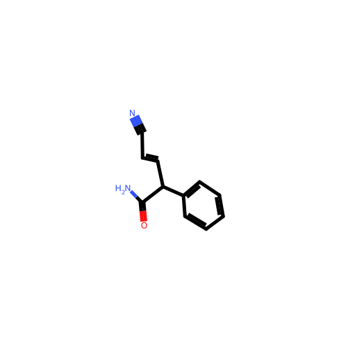 N#C/C=C/C(C(N)=O)c1ccccc1